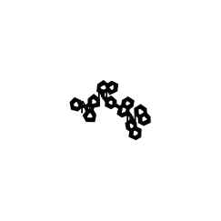 c1ccc(-n2c3ccccc3c3cc(N(c4ccc(-c5ccc(N(c6ccc7ccccc7c6)c6cccc7ccccc67)c6ccccc56)cc4)c4cccc5ccccc45)ccc32)cc1